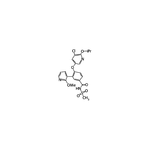 COc1ncccc1-c1cc(C(=O)NS(C)(=O)=O)ccc1Oc1cnc(OC(C)C)c(Cl)c1